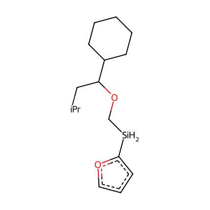 CC(C)CC(OC[SiH2]c1ccco1)C1CCCCC1